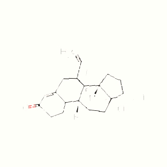 C=CC1CC2=CC(=O)CCC2[C@H]2CC[C@]3(C)[C@@H](C)CC[C@H]3[C@H]12